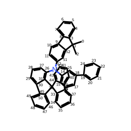 CC1(C)c2ccccc2-c2ccc(N(c3cccc(-c4ccccc4)c3)c3cccc4c3C3(c5ccccc5-c5ccccc53)c3ccccc3-4)cc21